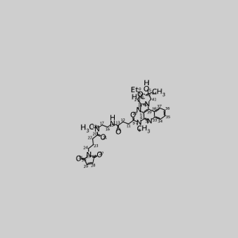 CCOCc1nc2c(N(C)C(=O)CCC(=O)NCCN(C)C(=O)CCCN3C(=O)C=CC3=O)nc3ccccc3c2n1CC(C)(C)O